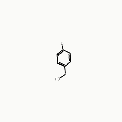 [Li][c]1ccc(CO)cc1